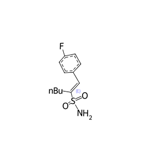 CCCC/C(=C\c1ccc(F)cc1)S(N)(=O)=O